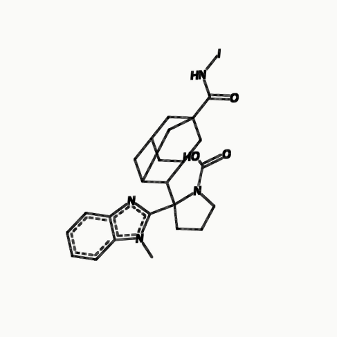 Cn1c(C2(C3C4CC5CC3CC(C(=O)NI)(C5)C4)CCCN2C(=O)O)nc2ccccc21